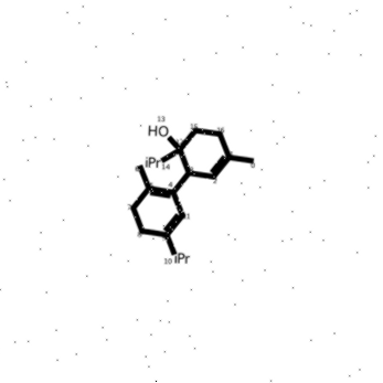 CC1=CC(C2=C(C)CCC(C(C)C)=C2)C(O)(C(C)C)CC1